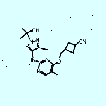 Cc1nn(C(C)(C)C#N)cc1Nc1ncc(F)c(OCC2CC(C#N)C2)n1